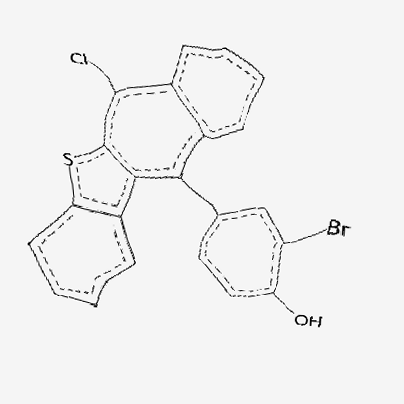 Oc1ccc(-c2c3ccccc3c(Cl)c3sc4ccccc4c23)cc1Br